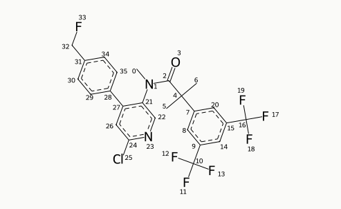 CN(C(=O)C(C)(C)c1cc(C(F)(F)F)cc(C(F)(F)F)c1)c1cnc(Cl)cc1-c1ccc(CF)cc1